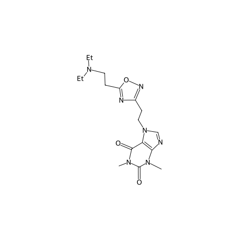 CCN(CC)CCc1nc(CCn2cnc3c2c(=O)n(C)c(=O)n3C)no1